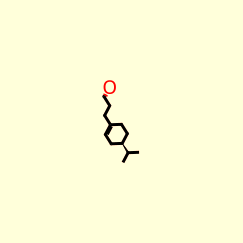 CC(C)[C@H]1CC=C(CCC=O)CC1